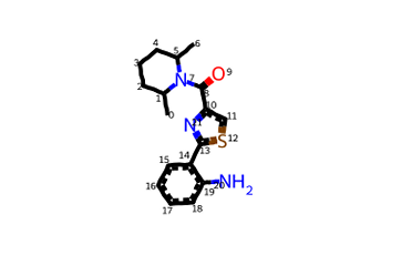 CC1CCCC(C)N1C(=O)c1csc(-c2ccccc2N)n1